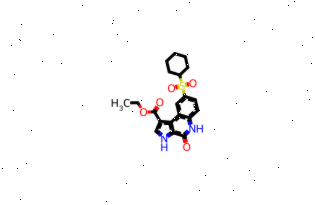 CCOC(=O)c1c[nH]c2c(=O)[nH]c3ccc(S(=O)(=O)C4CCCCC4)cc3c12